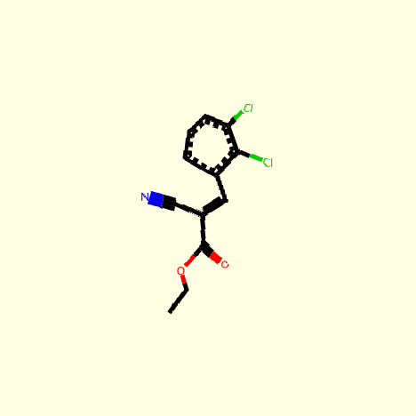 CCOC(=O)/C(C#N)=C/c1cccc(Cl)c1Cl